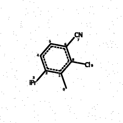 Cc1c(C(C)C)ccc(C#N)c1Cl